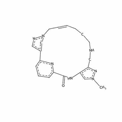 Cn1cc2c(n1)CNCCC/C=C\Cn1cc(cn1)-c1cccc(n1)C(=O)N2